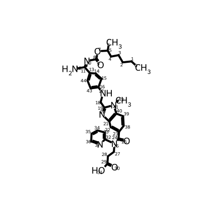 CCCCCC(C)OC(=O)/N=C(/N)c1ccc(NCc2nc3cc(C(=O)N(CCC(=O)O)c4ccccn4)ccc3n2C)cc1